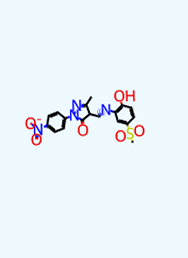 CC1=NN(c2ccc([N+](=O)[O-])cc2)C(=O)C1/C=N/c1cc(S(C)(=O)=O)ccc1O